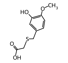 COc1ccc(CSCC(=O)O)cc1O